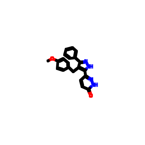 COc1ccc(Cc2c(-c3ccccc3)n[nH]c2-c2ccc(=O)[nH]n2)cc1